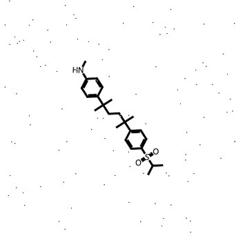 CNc1ccc(C(C)(C)CCC(C)(C)c2ccc(S(=O)(=O)C(C)C)cc2)cc1